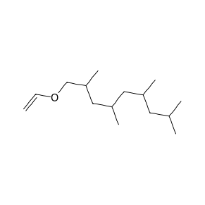 C=COCC(C)CC(C)CC(C)CC(C)C